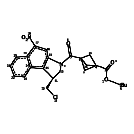 CC(C)(C)OC(=O)C12CC(C(=O)N3C[C@@H](CCl)c4c3cc([N+](=O)[O-])c3ccccc43)(C1)C2